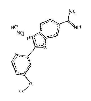 CCOc1ccnc(-c2nc3cc(C(=N)N)ccc3[nH]2)c1.Cl.Cl